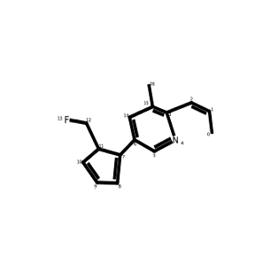 C/C=C\c1ncc(C2=CC=CC2CF)cc1C